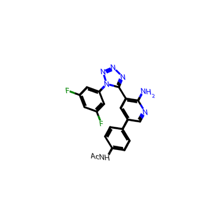 CC(=O)Nc1ccc(-c2cnc(N)c(-c3nnnn3-c3cc(F)cc(F)c3)c2)cc1